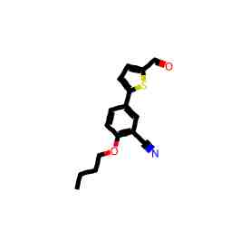 CCCCOc1ccc(-c2ccc(C=O)s2)cc1C#N